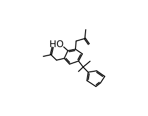 C=C(C)Cc1cc(C(C)(C)c2ccccc2)cc(CC(=C)C)c1O